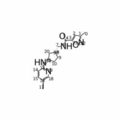 Cc1cc(C(=O)NC[C@@H]2CC[C@H](Nc3ccc(I)cn3)C2)on1